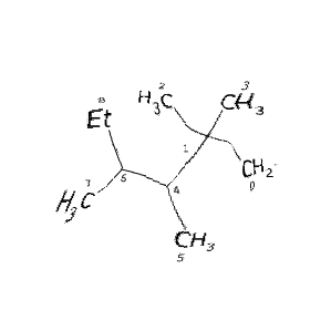 [CH2]C(C)(C)C(C)C(C)CC